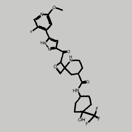 COc1cc(-c2cc(C(=O)C3OCC34CC(C(=O)NC3CCC(O)(C(F)(F)F)CC3)CCN4)n[nH]2)c(F)cn1